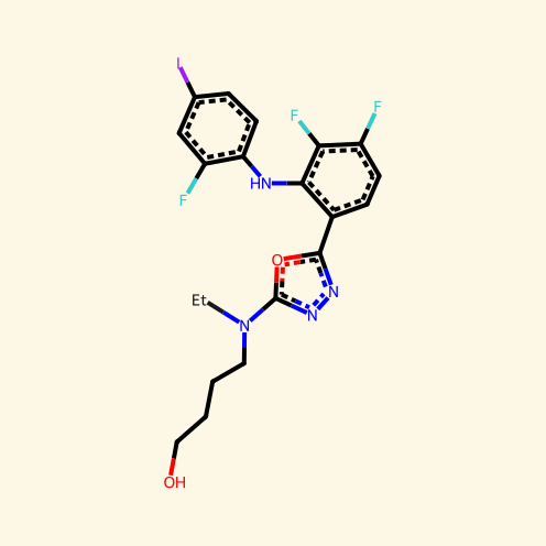 CCN(CCCCO)c1nnc(-c2ccc(F)c(F)c2Nc2ccc(I)cc2F)o1